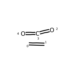 C=C.O=C=O